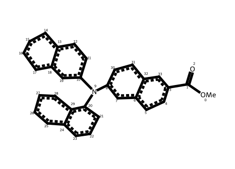 COC(=O)c1ccc2cc(N(c3ccc4ccccc4c3)c3cccc4ccccc34)ccc2c1